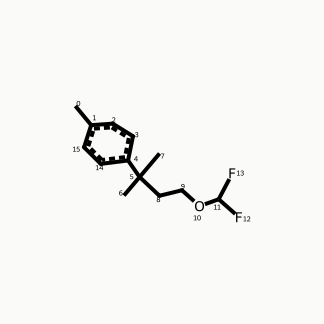 Cc1ccc(C(C)(C)CCOC(F)F)cc1